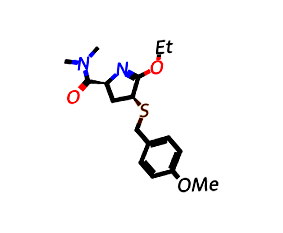 CCOC1=N[C@H](C(=O)N(C)C)C[C@@H]1SCc1ccc(OC)cc1